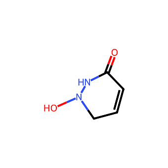 O=C1C=CCN(O)N1